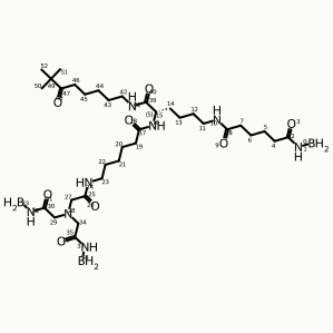 BNC(=O)CCCCC(=O)NCCCC[C@H](NC(=O)CCCCCNC(=O)CN(CC(=O)NB)CC(=O)NB)C(=O)NCCCCCC(=O)C(C)(C)C